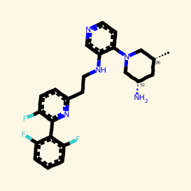 C[C@@H]1C[C@H](N)CN(c2ccncc2NCCc2ccc(F)c(-c3c(F)cccc3F)n2)C1